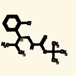 CC(C)[C@H](CNC(=O)OC(C)(C)C)c1ccccc1Cl